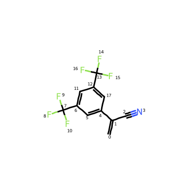 C=C(C#N)c1cc(C(F)(F)F)cc(C(F)(F)F)c1